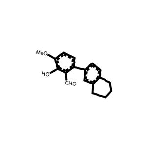 COc1ccc(-c2ccc3c(c2)CCCC3)c(C=O)c1O